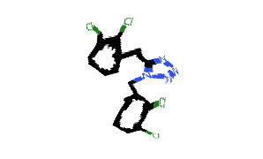 Clc1cccc(Cc2nnnn2Cc2cccc(Cl)c2Cl)c1Cl